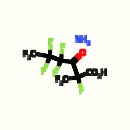 N.O=C(O)C(F)(C(=O)C(F)(F)C(F)(F)C(F)(F)F)C(F)(F)F